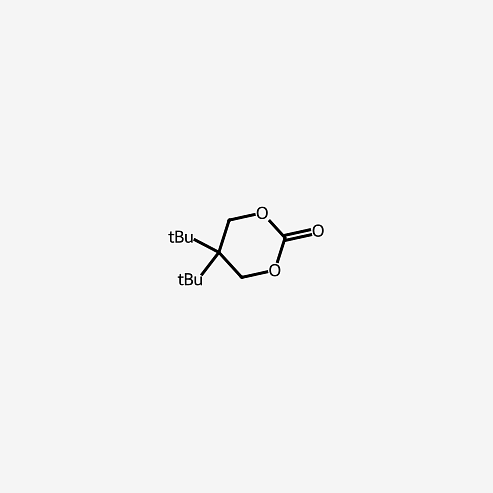 CC(C)(C)C1(C(C)(C)C)COC(=O)OC1